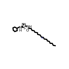 CCCCCCCC/C=C/CCCCCCCC(=O)Nc1nnc(NCC2CCCCC2)s1